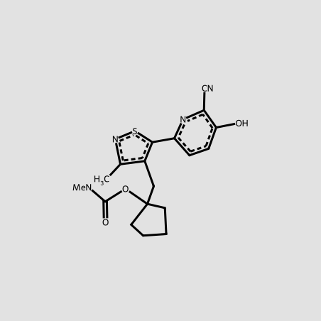 CNC(=O)OC1(Cc2c(C)nsc2-c2ccc(O)c(C#N)n2)CCCC1